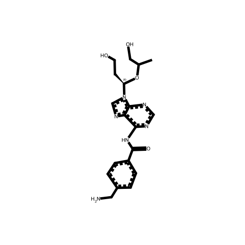 CC(CO)O[C@H](CCO)n1cnc2c(NC(=O)c3ccc(CN)cc3)ncnc21